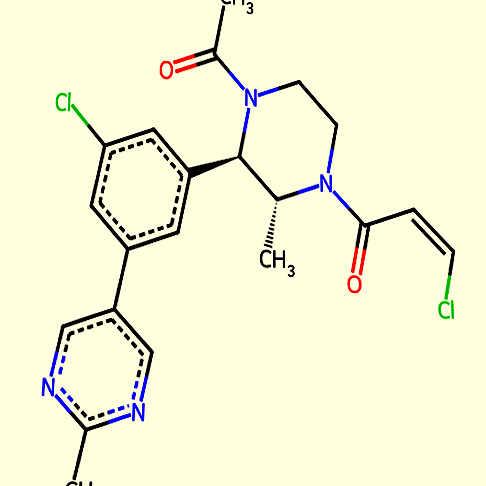 CC(=O)N1CCN(C(=O)/C=C\Cl)[C@H](C)[C@H]1c1cc(Cl)cc(-c2cnc(C)nc2)c1